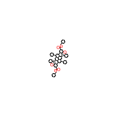 O=C(OCc1ccccc1)c1cc2c3c(c1)-c1cc(-c4ccccc4)c4cc5c6c(cc(-c7ccccc7)c7cc(c1c4c76)B3c1ccccc1O2)-c1cc(C(=O)OCc2ccccc2)cc2c1B5c1ccccc1O2